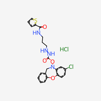 Cl.O=C(NNCCCNC(=O)c1cccs1)ON1Cc2ccccc2Oc2ccc(Cl)cc21